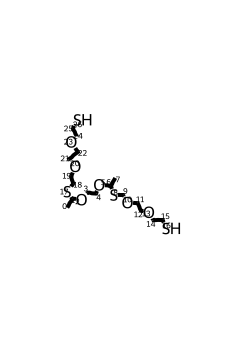 CC(OCCOC(C)SCOCCOCCS)SCCOCCOCCS